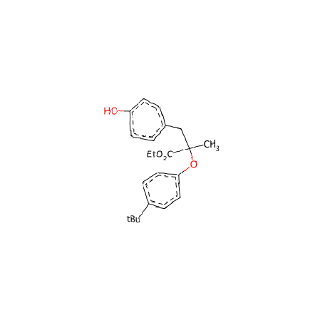 CCOC(=O)C(C)(Cc1ccc(O)cc1)Oc1ccc(C(C)(C)C)cc1